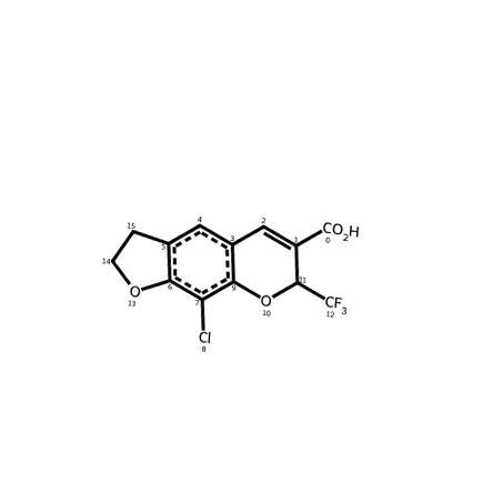 O=C(O)C1=Cc2cc3c(c(Cl)c2OC1C(F)(F)F)OCC3